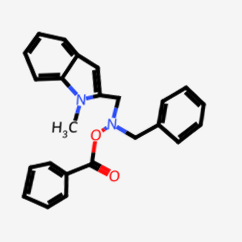 Cn1c(CN(Cc2ccccc2)OC(=O)c2ccccc2)cc2ccccc21